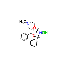 CN1CCOC(C(Oc2ccccc2)c2ccccc2)C1.CNC.Cl